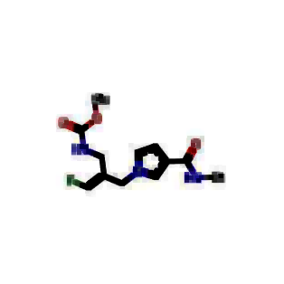 CCNC(=O)c1ccn(CC(=CF)CNC(=O)OC(C)(C)C)c1